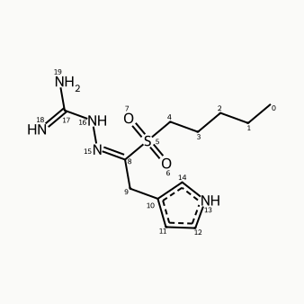 CCCCCS(=O)(=O)C(Cc1cc[nH]c1)=NNC(=N)N